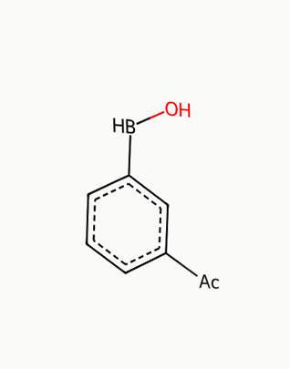 CC(=O)c1cccc(BO)c1